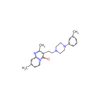 Cc1cccc(N2CCN(CCc3c(C)nc4cc(C)ccn4c3=O)CC2)c1